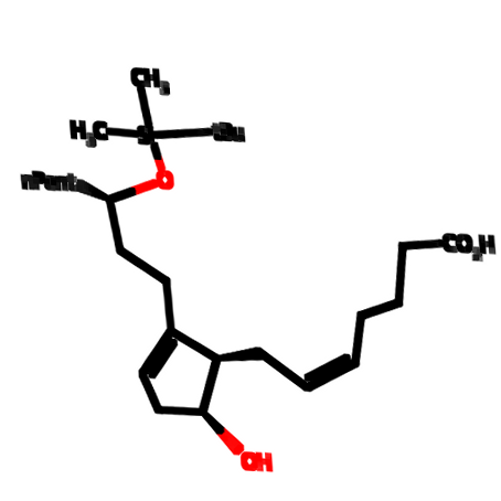 CCCCC[C@H](CCC1=CC[C@H](O)[C@@H]1C/C=C\CCCC(=O)O)O[Si](C)(C)C(C)(C)C